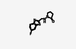 O=C1CCCN1NCc1nc2ccc(F)cc2s1